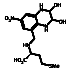 CSCC[C@@H](NCc1cc([N+](=O)[O-])cc2c1NC(O)C(O)N2)C(=O)O